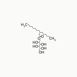 CCCCCCCCC(CCCCCC)CC(=O)OC[C@H](O)[C@@H](O)[C@H](O)[C@H](O)CO